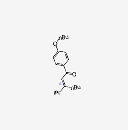 CCCCOc1ccc(C(=O)/C=C(\CCCC)C(C)C)cc1